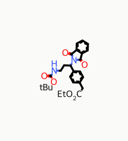 CCOC(=O)Cc1ccc(C(CCNC(=O)OC(C)(C)C)N2C(=O)c3ccccc3C2=O)cc1